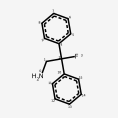 NCC(F)(c1ccccc1)c1ccccc1